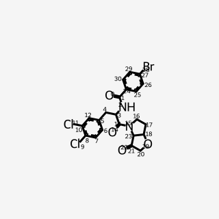 O=C(NC(Cc1ccc(Cl)c(Cl)c1)C(=O)N1CCC2OCC(=O)C21)c1ccc(Br)cc1